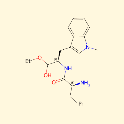 CCOC(O)[C@@H](Cc1cn(C)c2ccccc12)NC(=O)[C@@H](N)CC(C)C